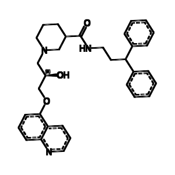 O=C(NCCC(c1ccccc1)c1ccccc1)C1CCCN(C[C@@H](O)COc2cccc3ncccc23)C1